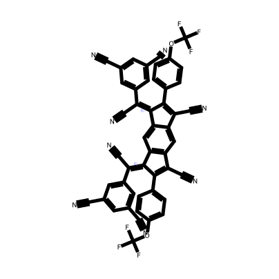 N#CC1=C(c2ccc(OC(F)(F)F)cc2)/C(=C(/C#N)c2cc(C#N)cc(C#N)c2)c2cc3c(cc21)C(C#N)=C(c1ccc(OC(F)(F)F)cc1)/C3=C(/C#N)c1cc(C#N)cc(C#N)c1